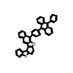 c1ccc(-c2c3ccccc3c(-c3ccc(-c4c5ccccc5cc5c4oc4ccc6sc7ccccc7c6c45)cc3)c3ccccc23)cc1